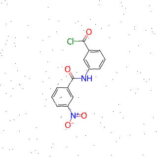 O=C(Cl)c1cccc(NC(=O)c2cccc([N+](=O)[O-])c2)c1